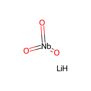 [LiH].[O]=[Nb](=[O])=[O]